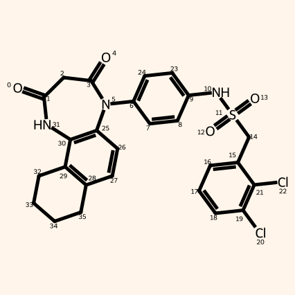 O=C1CC(=O)N(c2ccc(NS(=O)(=O)Cc3cccc(Cl)c3Cl)cc2)c2ccc3c(c2N1)CCCC3